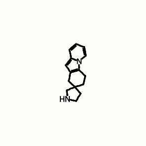 c1ccn2c3c(cc2c1)CC1(CCNC1)CC3